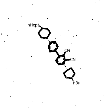 CCCCCCC[C@H]1CC[C@H](c2ccc(-c3ccc([C@H]4CC[C@H](CCCC)CC4)c(C#N)c3C#N)cc2)CC1